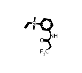 C=C[Si](C)(C)c1cccc(NC(=O)CC(F)(F)F)c1